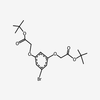 CC(C)(C)OC(=O)COc1cc(Br)cc(OCC(=O)OC(C)(C)C)c1